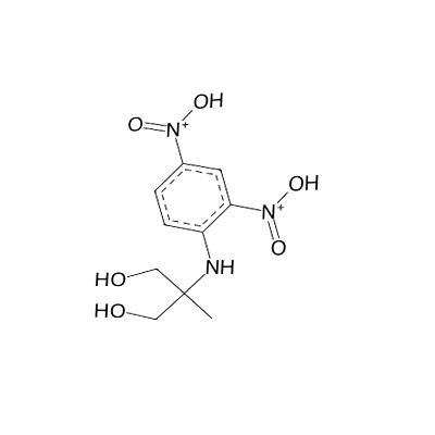 CC(CO)(CO)Nc1ccc([N+](=O)O)cc1[N+](=O)O